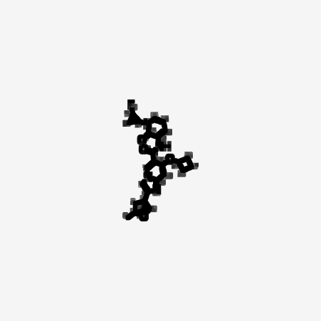 CC12CC(c3cn4cc(C(=O)Nc5cccn(C6CC6F)c5=O)c(OC5CCC5)cc4n3)(CO1)C2